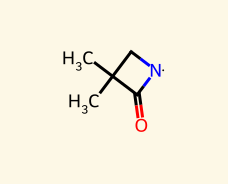 CC1(C)C[N]C1=O